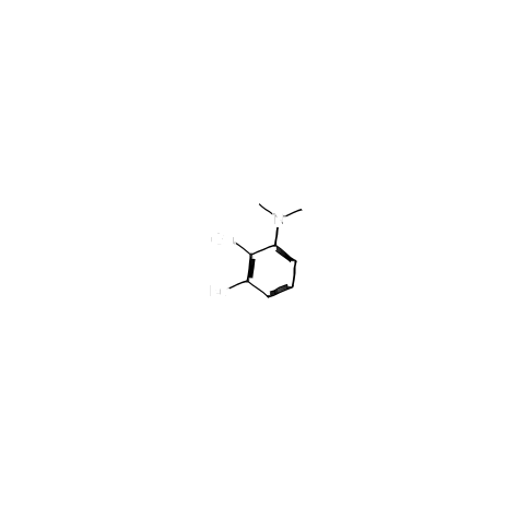 CN(C)c1cc[c]c(C(C)(C)C)c1C(C)(C)C